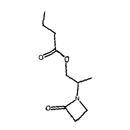 CCCC(=O)OCC(C)N1CCC1=O